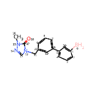 Bc1cccc(-c2cccc(Cn3cnn(C)c3=O)c2)c1